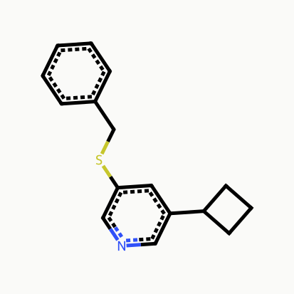 c1ccc(CSc2cncc(C3CCC3)c2)cc1